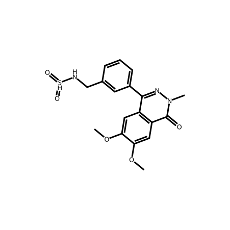 COc1cc2c(-c3cccc(CN[SH](=O)=O)c3)nn(C)c(=O)c2cc1OC